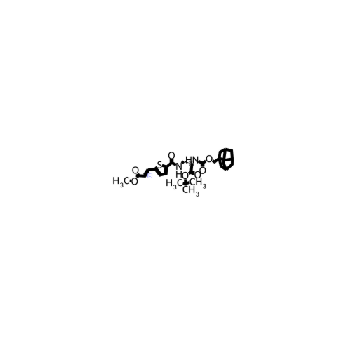 COC(=O)/C=C/c1ccc(C(=O)NC[C@H](NC(=O)OCC23CC4CC(CC(C4)C2)C3)C(=O)OC(C)(C)C)s1